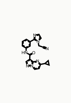 N#CCn1ccnc1-c1cccc(NC(=O)c2cnn3ccc(C4CC4)nc23)c1